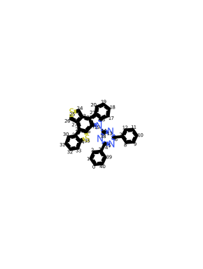 c1ccc(-c2nc(-c3ccccc3)nc(-n3c4ccccc4c4c5cscc5c5c6ccccc6sc5c43)n2)cc1